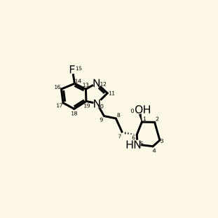 O[C@H]1CCCN[C@@H]1CCCn1cnc2c(F)cccc21